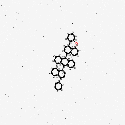 c1ccc(-c2ccc(-c3c4ccccc4c(-c4ccc5c6c(cccc46)Oc4ccccc4-5)c4ccccc34)c3ccccc23)cc1